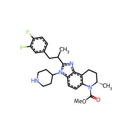 COC(=O)N1c2ccc3c(nc(C(C)Cc4ccc(F)c(F)c4)n3C3CCNCC3)c2CC[C@@H]1C